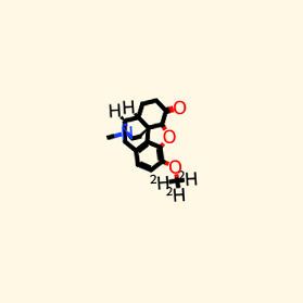 [2H]C([2H])([2H])Oc1ccc2c3c1OC1C(=O)CC[C@H]4[C@@H](C2)N(C)CC[C@]314